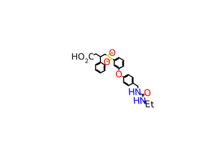 CCNC(=O)NCc1ccc(Oc2cccc(S(=O)(=O)CC(CC(=O)O)c3ccccc3)c2)cc1